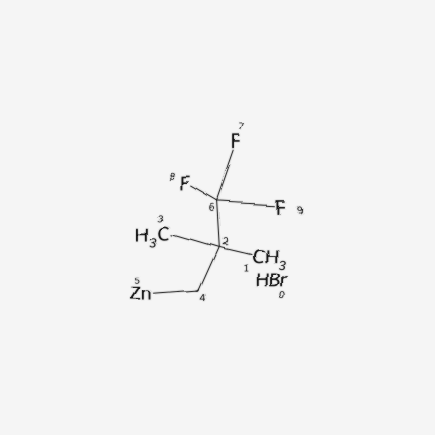 Br.CC(C)([CH2][Zn])C(F)(F)F